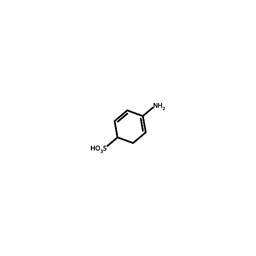 NC1=CCC(S(=O)(=O)O)C=C1